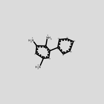 Nc1cc(N)c(N)c(-c2ccccc2)c1